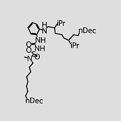 CCCCCCCCCCCCCCCCCCN(C)S(=O)(=O)NC(=O)Nc1ccccc1NCC(CCCC(CCCCCCCCCCCC)C(C)C)C(C)C